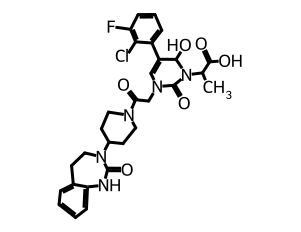 CC(C(=O)O)N1C(=O)N(CC(=O)N2CCC(N3CCc4ccccc4NC3=O)CC2)C=C(c2cccc(F)c2Cl)C1O